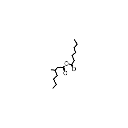 CCCCCCC(=O)OC(=O)CC(C)CCCC